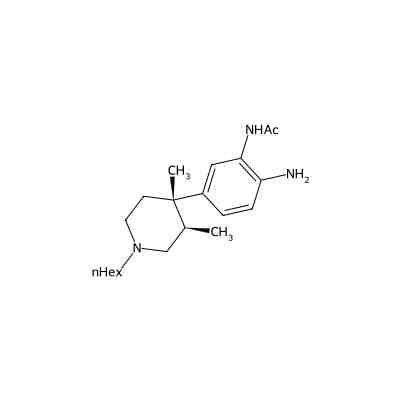 CCCCCCN1CC[C@](C)(c2ccc(N)c(NC(C)=O)c2)[C@@H](C)C1